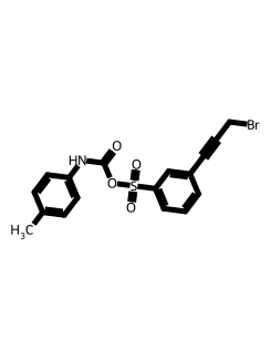 Cc1ccc(NC(=O)OS(=O)(=O)c2cccc(C#CCBr)c2)cc1